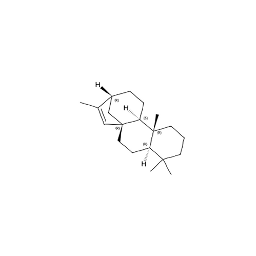 CC1=C[C@@]23CC[C@@H]4C(C)(C)CCC[C@@]4(C)[C@@H]2CC[C@@H]1C3